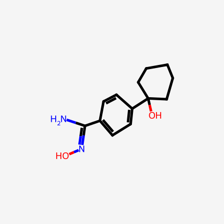 N/C(=N\O)c1ccc(C2(O)CCCCC2)cc1